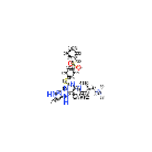 COc1c(Nc2cc(C)[nH]n2)nc(Sc2ccc(S(=O)(=O)Cc3ccccc3)cc2)nc1N1CCC(CCN(C)C)CC1